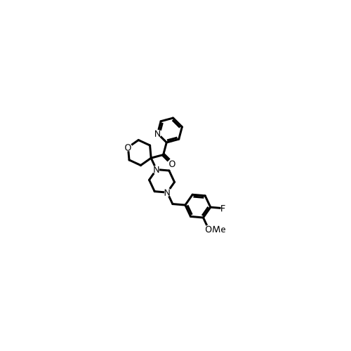 COc1cc(CN2CCN(C3(C(=O)c4ccccn4)CCOCC3)CC2)ccc1F